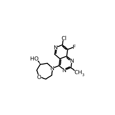 Cc1nc(N2CCOC[C@@H](O)C2)c2cnc(Cl)c(F)c2n1